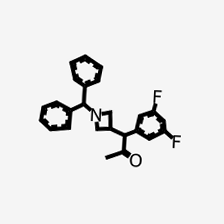 CC(=O)C(c1cc(F)cc(F)c1)C1CN(C(c2ccccc2)c2ccccc2)C1